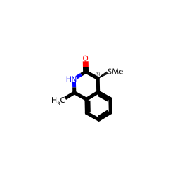 CS[C@@H]1C(=O)NC(C)c2ccccc21